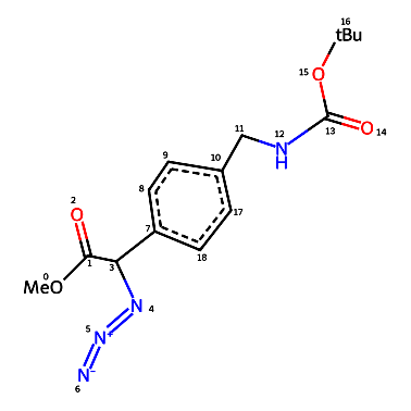 COC(=O)C(N=[N+]=[N-])c1ccc(CNC(=O)OC(C)(C)C)cc1